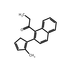 CCC(=O)c1c(C2=C(C)C=CC2)ccc2ccccc12